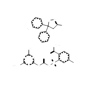 CCOC(=O)C1=NOC(c2ccccc2)(c2ccccc2)C1.COC(=O)c1ccc(I)cc1S(=O)(=O)[N-]C(=O)Nc1nc(C)nc(OC)n1.[Na+]